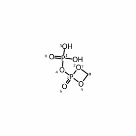 O=P(O)(O)OP1(=O)OCO1